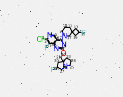 Fc1c(Cl)ncc2c(N3CCCC4(CC(F)C4)C3)nc(OC[C@@]34CCCN3C[C@H](F)C4)nc12